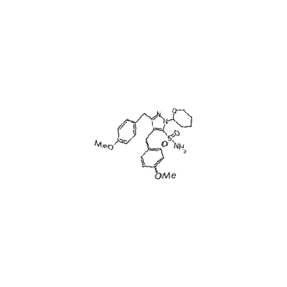 COc1ccc(Cc2nn(C3CCCCO3)c(S(N)(=O)=O)c2Cc2ccc(OC)cc2)cc1